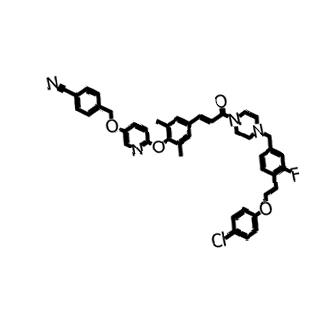 Cc1cc(C=CC(=O)N2CCN(Cc3ccc(CCOc4ccc(Cl)cc4)c(F)c3)CC2)cc(C)c1Oc1ccc(OCc2ccc(C#N)cc2)cn1